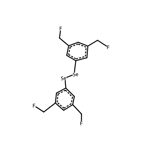 FCc1cc(CF)cc([Se][Se]c2cc(CF)cc(CF)c2)c1